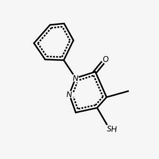 Cc1c(S)cnn(-c2ccccc2)c1=O